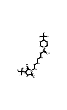 CC(C)(C)C1CCN(C(=O)CCCCCCN2C(=O)CC(C(C)(C)C)C2=O)CC1